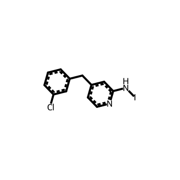 Clc1cccc(Cc2ccnc(NI)c2)c1